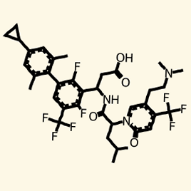 Cc1cc(C2CC2)cc(C)c1-c1cc(C(F)(F)F)c(F)c(C(CC(=O)O)NC(=O)C(CC(C)C)n2cc(CCN(C)C)c(C(F)(F)F)cc2=O)c1F